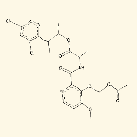 COc1ccnc(C(=O)NC(C)C(=O)OC(C)C(C)c2ncc(Cl)cc2Cl)c1OCOC(C)=O